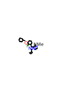 CNc1nccn2c(C3CCC3)nc(-c3cccc(OCc4ccccc4)c3F)c12